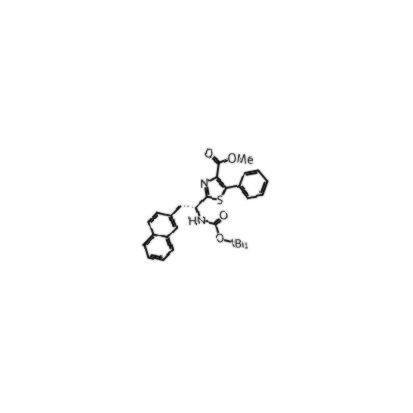 COC(=O)c1nc([C@@H](Cc2ccc3ccccc3c2)NC(=O)OC(C)(C)C)sc1-c1ccccc1